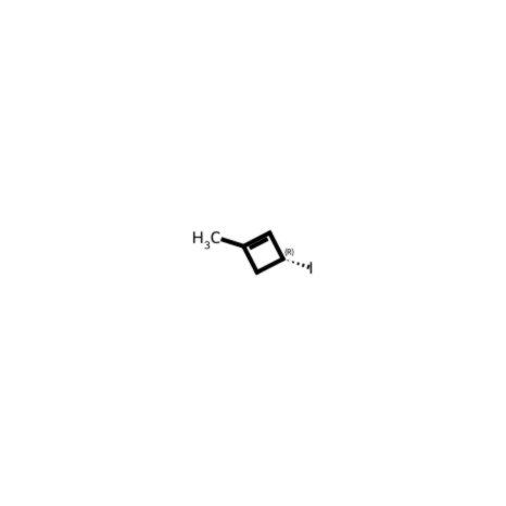 CC1=C[C@H](I)C1